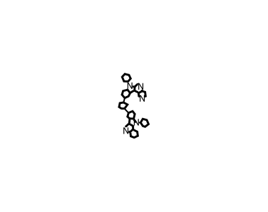 c1ccc(-n2c3ccc(-c4cccc(-c5ccc6c(c5)c5cnc7ccccc7c5n6-c5ccccc5)c4)cc3c3c4cnccc4ncc32)cc1